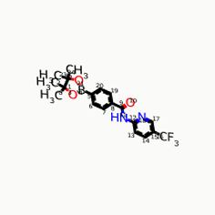 CC1(C)OB(c2ccc(C(=O)Nc3ccc(C(F)(F)F)cn3)cc2)OC1(C)C